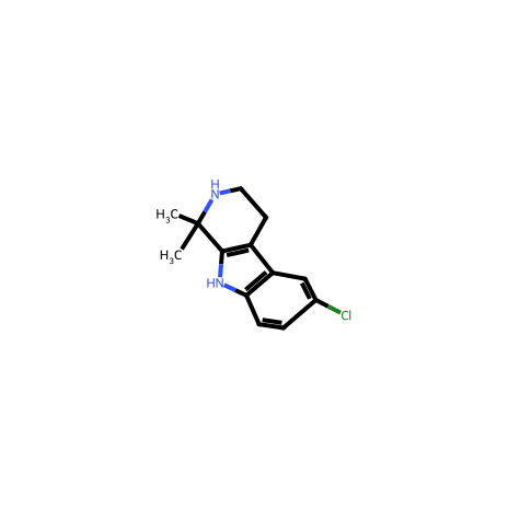 CC1(C)NCCc2c1[nH]c1ccc(Cl)cc21